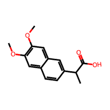 COc1cc2ccc(C(C)C(=O)O)cc2cc1OC